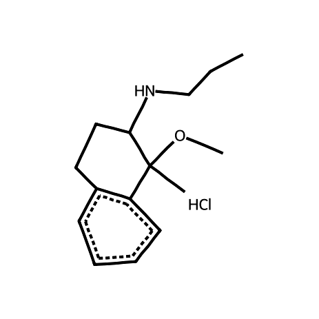 CCCNC1CCc2ccccc2C1(C)OC.Cl